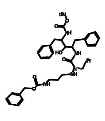 CC(C)C[C@H](NCCCNC(=O)OCc1ccccc1)C(=O)NC(Cc1ccccc1)C(O)C(Cc1ccccc1)NC(=O)OC(C)(C)C